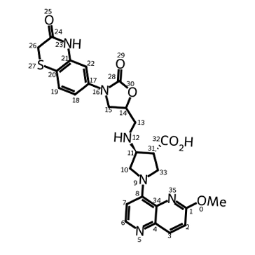 COc1ccc2nccc(N3C[C@@H](NCC4CN(c5ccc6c(c5)NC(=O)CS6)C(=O)O4)[C@H](C(=O)O)C3)c2n1